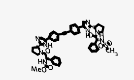 COC(=O)N[C@@H](C(=O)N1CCC[C@H]1c1ncc(-c2ccc(C#Cc3ccc(-c4cnc([C@@H]5CCCN5C(=O)[C@H](NS(C)(=O)=O)c5ccccc5)[nH]4)cc3)cc2)[nH]1)c1ccccc1